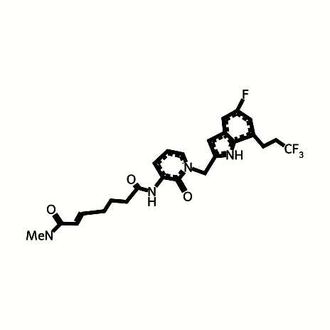 CNC(=O)/C=C/CCCC(=O)Nc1cccn(Cc2cc3cc(F)cc(CCC(F)(F)F)c3[nH]2)c1=O